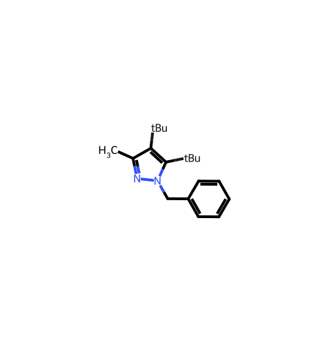 Cc1nn(Cc2ccccc2)c(C(C)(C)C)c1C(C)(C)C